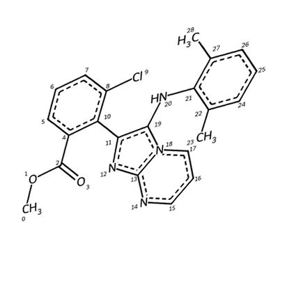 COC(=O)c1cccc(Cl)c1-c1nc2ncccn2c1Nc1c(C)cccc1C